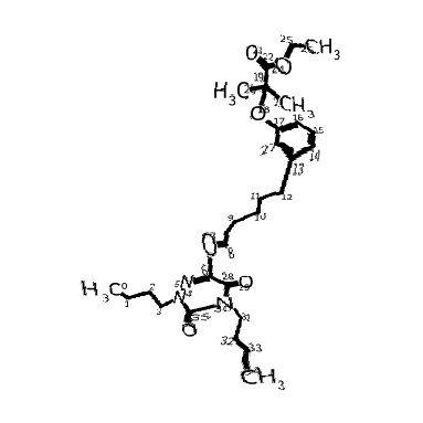 CCCCn1nc(OCCCCCc2cccc(OC(C)(C)C(=O)OCC)c2)c(=O)n(CCCC)c1=O